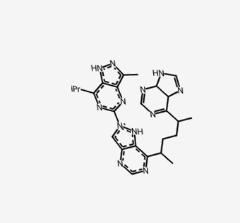 Cc1n[nH]c2c(C(C)C)nc(-[n+]3cc4ncnc(C(C)CCC(C)C5=NC=NC6NC=NC56)c4[nH]3)nc12